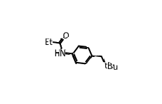 CCC(=O)Nc1ccc(CC(C)(C)C)cc1